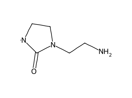 NCCN1CC[N]C1=O